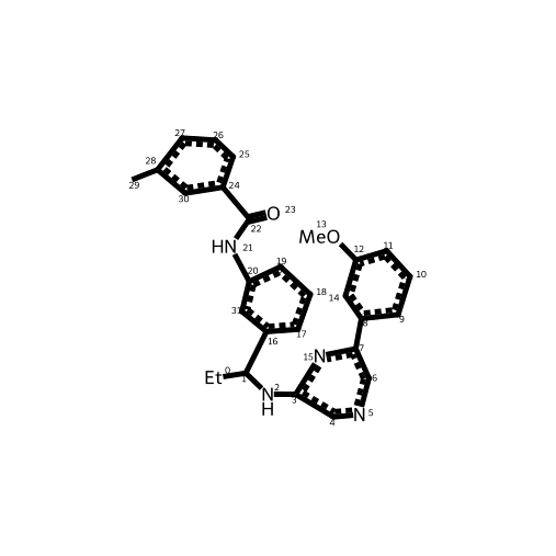 CCC(Nc1cncc(-c2cccc(OC)c2)n1)c1cccc(NC(=O)c2cccc(C)c2)c1